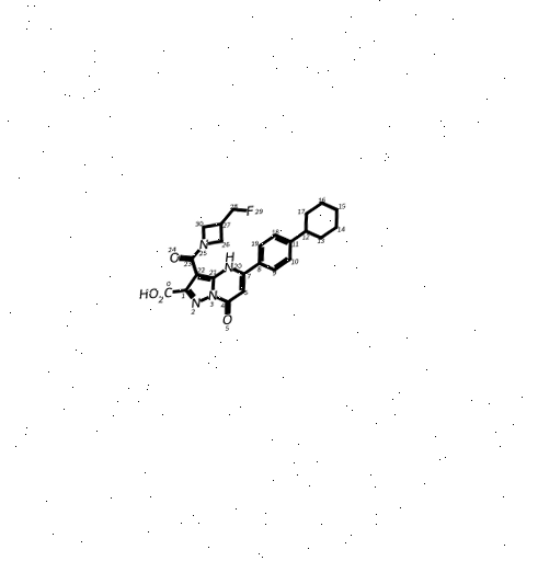 O=C(O)c1nn2c(=O)cc(-c3ccc(C4CCCCC4)cc3)[nH]c2c1C(=O)N1CC(CF)C1